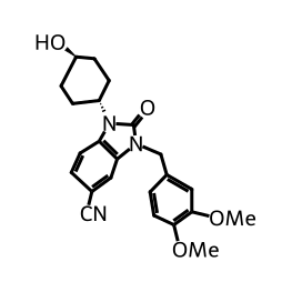 COc1ccc(Cn2c(=O)n([C@H]3CC[C@H](O)CC3)c3ccc(C#N)cc32)cc1OC